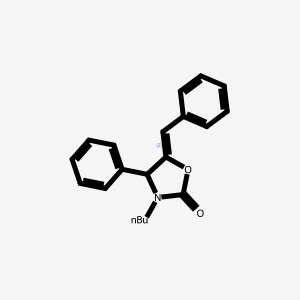 CCCCN1C(=O)O/C(=C\c2ccccc2)C1c1ccccc1